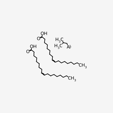 CC(C)[CH2][Al].CCCCCCCC/C=C\CCCCCCCC(=O)O.CCCCCCCC/C=C\CCCCCCCC(=O)O